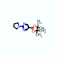 CC1(C)OB(c2cnc(N3CCCC3)nc2)OC1(C)C